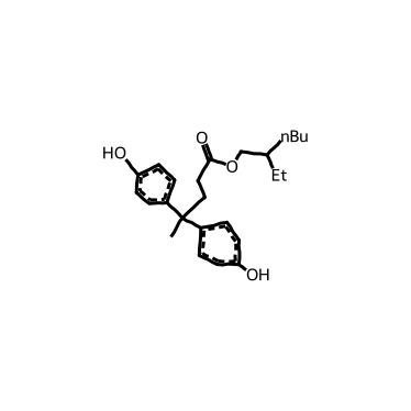 CCCCC(CC)COC(=O)CCC(C)(c1ccc(O)cc1)c1ccc(O)cc1